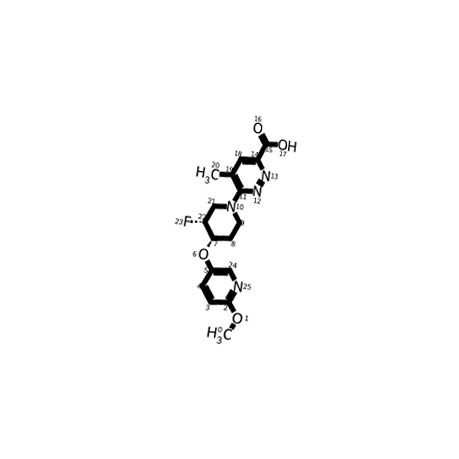 COc1ccc(O[C@H]2CCN(c3nnc(C(=O)O)cc3C)C[C@H]2F)cn1